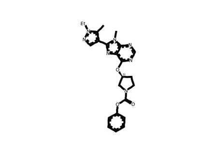 CCn1ncc(-c2nc3c(O[C@H]4CCN(C(=O)Oc5ccccc5)C4)ncnc3n2C)c1C